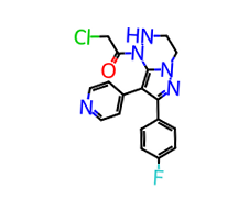 O=C(CCl)N1NCCn2nc(-c3ccc(F)cc3)c(-c3ccncc3)c21